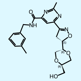 Cc1cccc(CNC(=O)c2cc(C3=NO[C@H]([C@H]4CO[C@H](CO)CO4)C3)nc(C)n2)c1